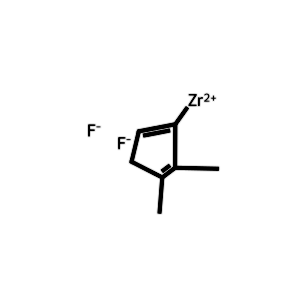 CC1=C(C)[C]([Zr+2])=CC1.[F-].[F-]